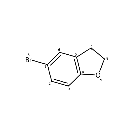 Brc1ccc2c(c1)[CH]CO2